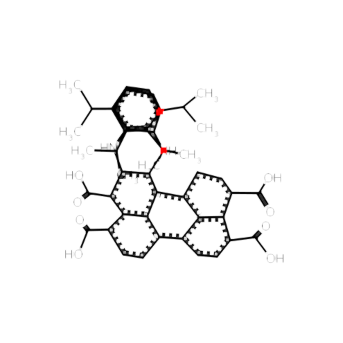 CC(C)c1cccc(C(C)C)c1Nc1c(C(=O)O)c2c(C(=O)O)ccc3c4ccc(C(=O)O)c5c(C(=O)O)ccc(c(c1Nc1c(C(C)C)cccc1C(C)C)c23)c54